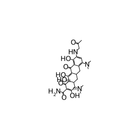 CC(=O)CNc1cc(N(C)C)c2c(c1O)C(=O)C1=C(O)[C@]3(O)C(=O)C(C(N)=O)=C(O)[C@@H](N(C)C)C3CC1C2